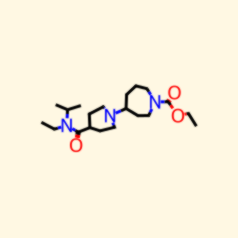 CCOC(=O)N1CCCC(N2CCC(C(=O)N(CC)C(C)C)CC2)CC1